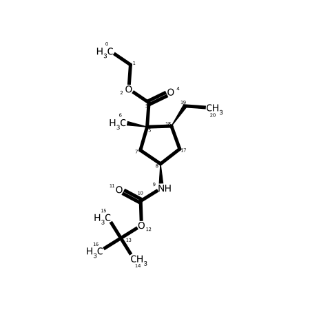 CCOC(=O)[C@@]1(C)C[C@H](NC(=O)OC(C)(C)C)C[C@@H]1CC